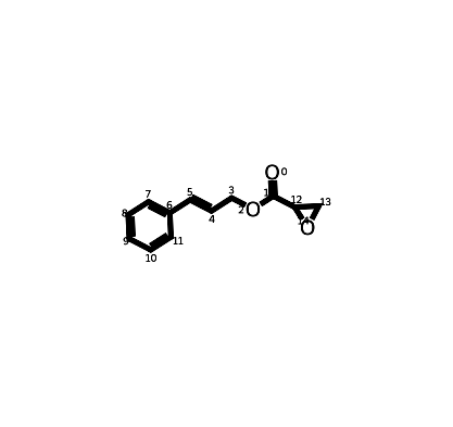 O=C(OC/C=C/c1ccccc1)C1CO1